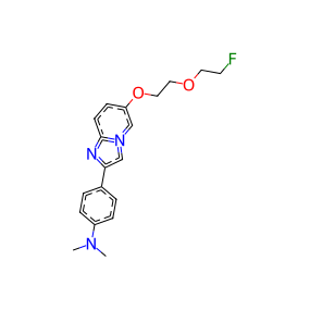 CN(C)c1ccc(-c2cn3cc(OCCOCCF)ccc3n2)cc1